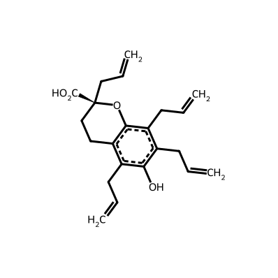 C=CCc1c(O)c(CC=C)c2c(c1CC=C)O[C@](CC=C)(C(=O)O)CC2